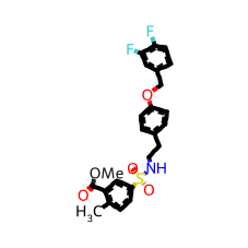 COC(=O)c1cc(S(=O)(=O)NCCc2ccc(OCc3ccc(F)c(F)c3)cc2)ccc1C